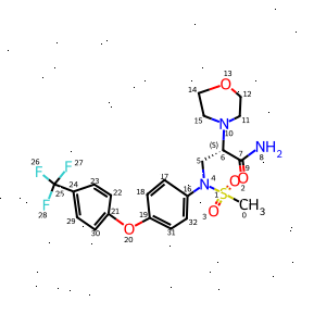 CS(=O)(=O)N(C[C@@H](C(N)=O)N1CCOCC1)c1ccc(Oc2ccc(C(F)(F)F)cc2)cc1